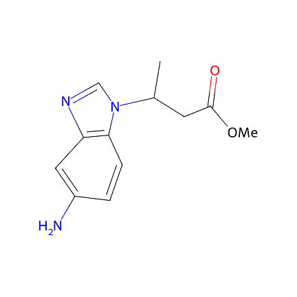 COC(=O)CC(C)n1cnc2cc(N)ccc21